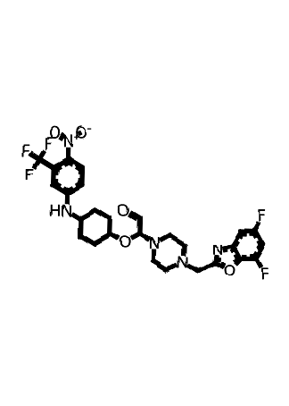 O=CC(OC1CCC(Nc2ccc([N+](=O)[O-])c(C(F)(F)F)c2)CC1)N1CCN(Cc2nc3cc(F)cc(F)c3o2)CC1